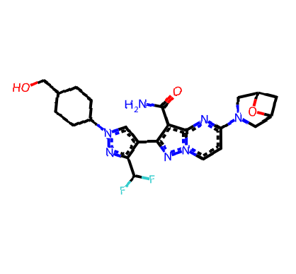 NC(=O)c1c(-c2cn(C3CCC(CO)CC3)nc2C(F)F)nn2ccc(N3CC4CC(C3)O4)nc12